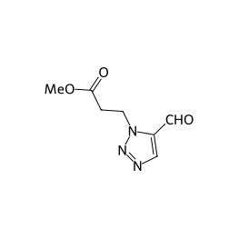 COC(=O)CCn1nncc1C=O